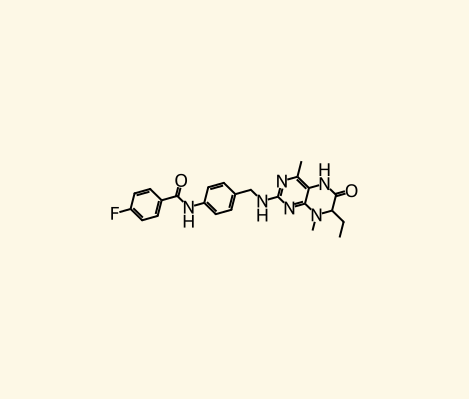 CCC1C(=O)Nc2c(C)nc(NCc3ccc(NC(=O)c4ccc(F)cc4)cc3)nc2N1C